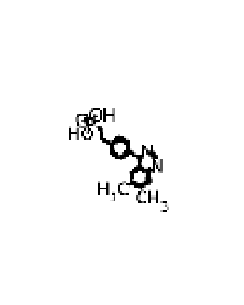 Cc1cc2ncnc(-c3ccc(CCP(=O)(O)O)cc3)c2cc1C